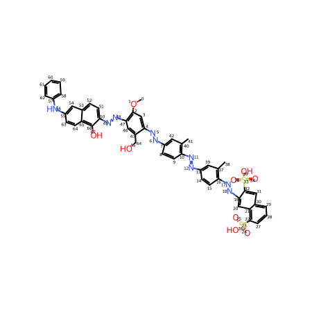 COc1cc(N=Nc2ccc(N=Nc3ccc(N=Nc4cc5c(S(=O)(=O)O)cccc5cc4S(=O)(=O)O)c(C)c3)c(C)c2)c(CO)cc1N=Nc1ccc2cc(Nc3ccccc3)ccc2c1O